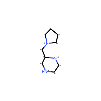 C1CCN(CC2CNCC[N]2)C1